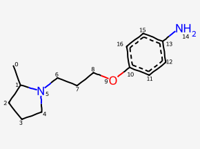 CC1CCCN1CCCOc1ccc(N)cc1